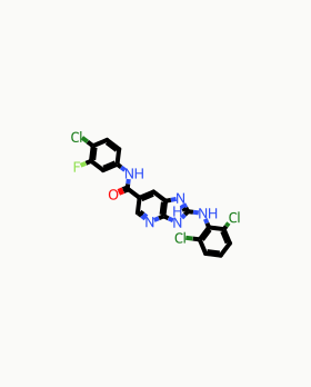 O=C(Nc1ccc(Cl)c(F)c1)c1cnc2[nH]c(Nc3c(Cl)cccc3Cl)nc2c1